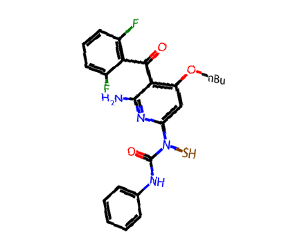 CCCCOc1cc(N(S)C(=O)Nc2ccccc2)nc(N)c1C(=O)c1c(F)cccc1F